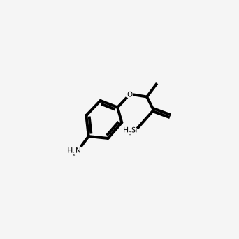 C=C([SiH3])C(C)Oc1ccc(N)cc1